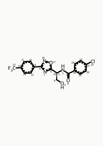 O=C(N[C@@H](CO)c1nc(-c2ccc(C(F)(F)F)cc2)no1)c1ccc(Cl)cc1